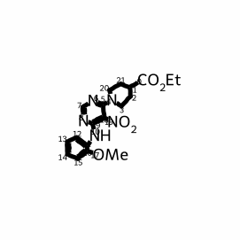 CCOC(=O)C1CCN(c2ncnc(Nc3ccccc3OC)c2[N+](=O)[O-])CC1